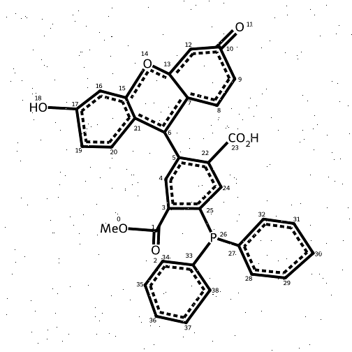 COC(=O)c1cc(-c2c3ccc(=O)cc-3oc3cc(O)ccc23)c(C(=O)O)cc1P(c1ccccc1)c1ccccc1